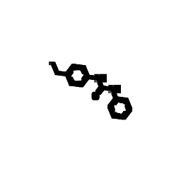 [CH2]Cc1ccc(NC(=O)Nc2ccccc2)cc1